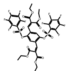 CCOC(=O)C(=Cc1cc(OS(=O)(=O)c2c(F)c(F)c(F)c(F)c2F)c(C=C(C(=O)OCC)C(=O)OCC)cc1OS(=O)(=O)c1c(F)c(F)c(F)c(F)c1F)C(=O)OCC